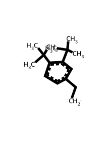 [CH2]Cc1ccc(C(C)(C)C)c(C(C)(C)C)c1